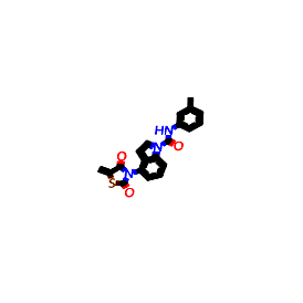 C=C1SC(=O)N(c2cccc3c2ccn3C(=O)Nc2cccc(C)c2)C1=O